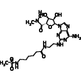 CN(C)C(=O)[C@H]1OC(n2cnc3c(N)nc(NCCNC(=O)CCCCCNS(C)(=O)=O)nc32)[C@H](O)[C@@H]1O